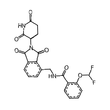 O=C1CCC(N2C(=O)c3cccc(CNC(=O)c4ccccc4OC(F)F)c3C2=O)C(=O)N1